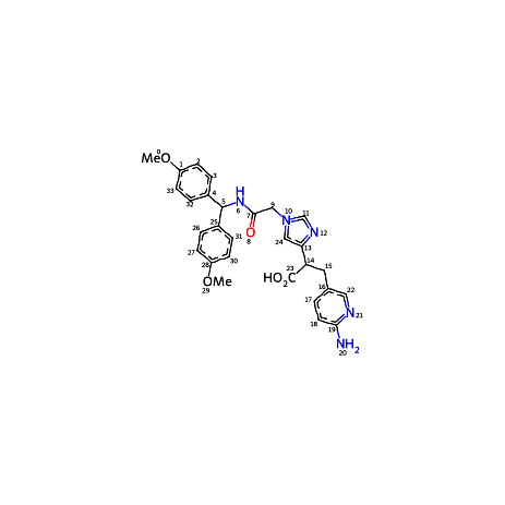 COc1ccc(C(NC(=O)Cn2cnc(C(Cc3ccc(N)nc3)C(=O)O)c2)c2ccc(OC)cc2)cc1